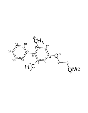 COCCOc1cc(C)c(-c2ccccc2)c(C)c1